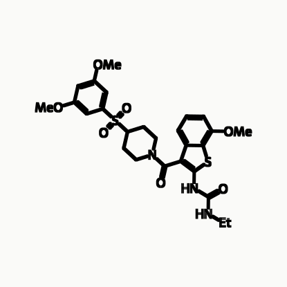 CCNC(=O)Nc1sc2c(OC)cccc2c1C(=O)N1CCC(S(=O)(=O)c2cc(OC)cc(OC)c2)CC1